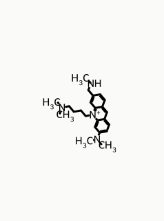 CNCc1ccc2cc3ccc(N(C)C)cc3[n+](CCCCN(C)C)c2c1